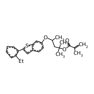 C=C(C)C(=O)OC(C)(C)CC(C)Oc1ccc2cc(-c3ccccc3CC)sc2c1